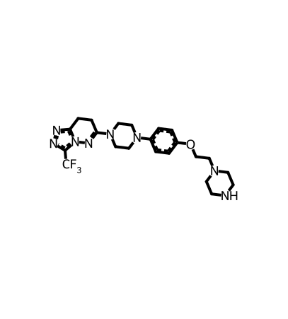 FC(F)(F)c1nnc2n1N=C(N1CCN(c3ccc(OCCN4CCNCC4)cc3)CC1)CC2